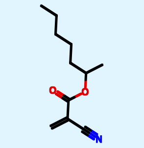 C=C(C#N)C(=O)OC(C)CCCCC